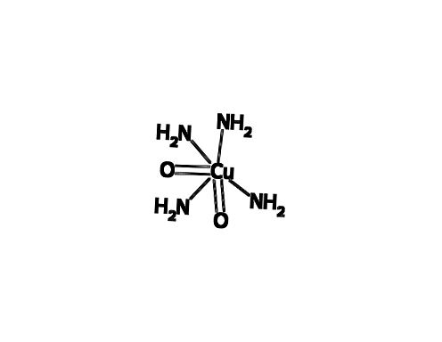 [NH2][Cu]([NH2])([NH2])([NH2])(=[O])=[O]